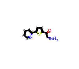 NCC(=O)c1ccc(-c2ccccn2)s1